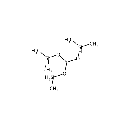 C[SiH2]OC(O[SiH](C)C)O[SiH](C)C